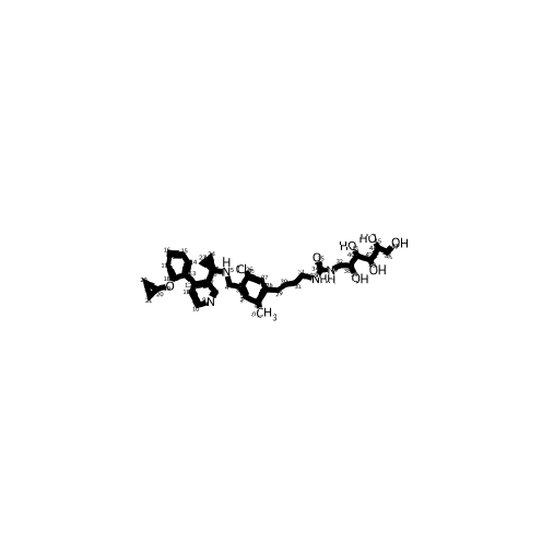 Cc1cc(CNC2(c3cnccc3-c3ccccc3OC3CC3)CC2)c(Cl)cc1CCCCNC(=O)NCC(O)C(O)C(O)C(O)CO